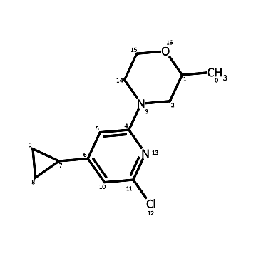 CC1CN(c2cc(C3CC3)cc(Cl)n2)CCO1